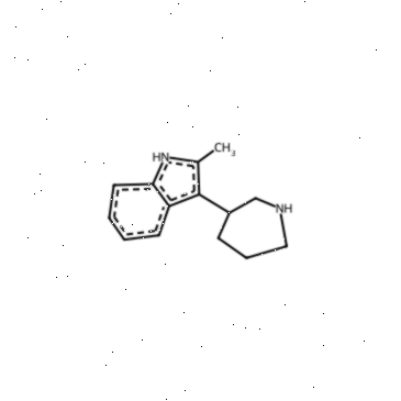 Cc1[nH]c2ccccc2c1C1CCCNC1